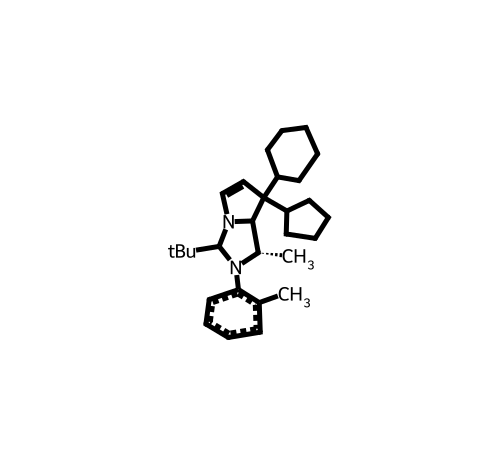 Cc1ccccc1N1C(C(C)(C)C)N2C=CC(C3CCCCC3)(C3CCCC3)C2[C@@H]1C